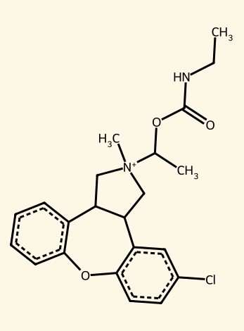 CCNC(=O)OC(C)[N+]1(C)CC2c3ccccc3Oc3ccc(Cl)cc3C2C1